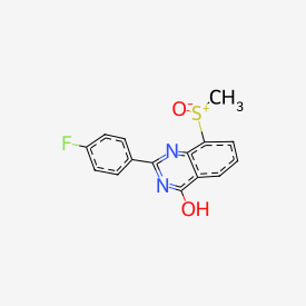 C[S+]([O-])c1cccc2c(O)nc(-c3ccc(F)cc3)nc12